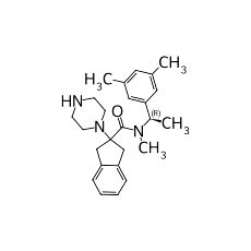 Cc1cc(C)cc([C@@H](C)N(C)C(=O)C2(N3CCNCC3)Cc3ccccc3C2)c1